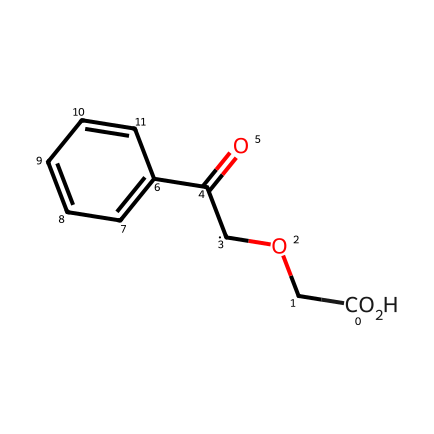 O=C(O)CO[CH]C(=O)c1ccccc1